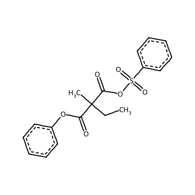 CCC(C)(C(=O)Oc1ccccc1)C(=O)OS(=O)(=O)c1ccccc1